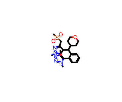 Cc1nnn(C)c1-c1ccccc1C(C1CCOCC1)C1CN(C)N=C1CS(C)(=O)=O